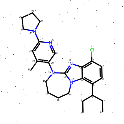 CCC(CC)c1ccc(Cl)c2nc3n(c12)CCCCN3c1cnc(N2CCCC2)cc1C